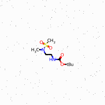 CN(CCNC(=O)OC(C)(C)C)S(C)(=O)=O